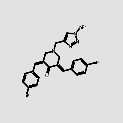 CCCn1cc(CN2C/C(=C/c3ccc(C(C)C)cc3)C(=O)/C(=C/c3ccc(C(C)C)cc3)C2)nn1